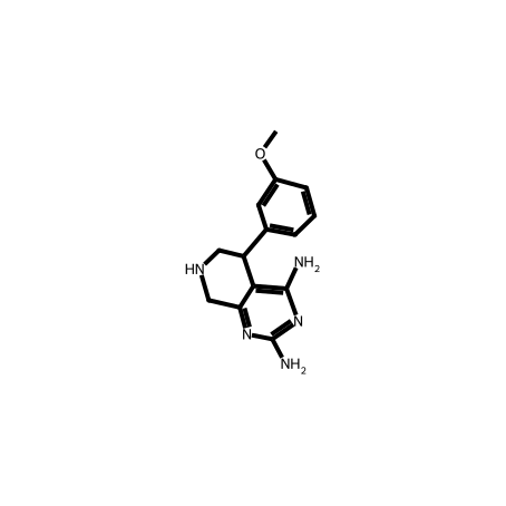 COc1cccc(C2CNCc3nc(N)nc(N)c32)c1